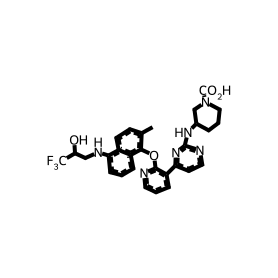 Cc1ccc2c(NCC(O)C(F)(F)F)cccc2c1Oc1ncccc1-c1ccnc(NC2CCCN(C(=O)O)C2)n1